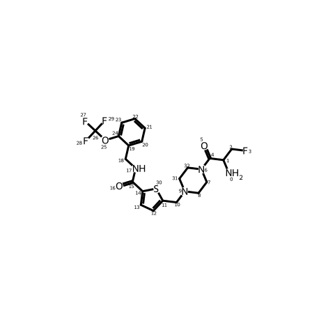 NC(CF)C(=O)N1CCN(Cc2ccc(C(=O)NCc3ccccc3OC(F)(F)F)s2)CC1